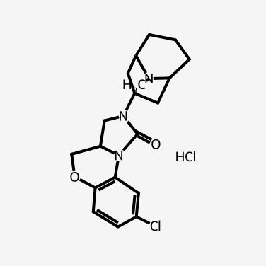 CN1C2CCCC1CC(N1CC3COc4ccc(Cl)cc4N3C1=O)C2.Cl